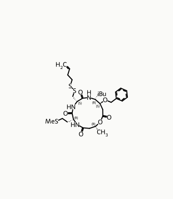 C=CCCSSC[C@H]1NC(=O)[C@@H](CCSC)NC(=O)C[C@@H](C)OC(=O)C[C@H](OCc2ccccc2)[C@@H](C(C)CC)NC1=O